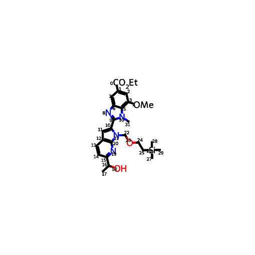 CCOC(=O)c1cc(OC)c2c(c1)nc(-c1cc3ccc(C(C)O)nc3n1COCC[Si](C)(C)C)n2C